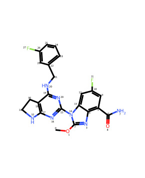 COc1nc2c(C(N)=O)cc(F)cc2n1-c1nc2c(c(NCc3cccc(F)c3)n1)CCN2